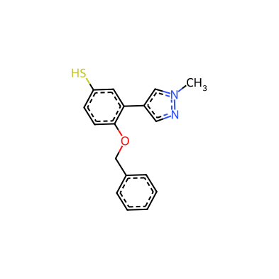 Cn1cc(-c2cc(S)ccc2OCc2ccccc2)cn1